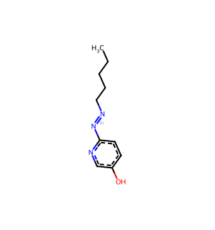 CCCCC/N=N/c1ccc(O)cn1